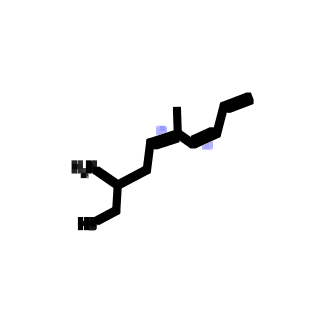 C=C/C=C\C(C)=C/CC(N)CS